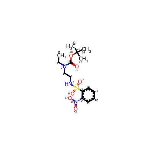 CCN(CCNS(=O)(=O)c1ccccc1[N+](=O)[O-])C(=O)OC(C)(C)C